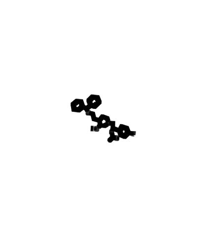 CC(=O)OC(CN1CCC(CCOC(c2ccccc2)c2ccccc2)C(O)C1)c1ccc(F)cc1